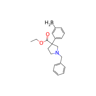 Bc1cccc(C2(C(=O)OCC)CCN(Cc3ccccc3)C2)c1